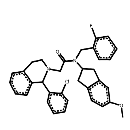 COc1ccc2c(c1)CC(N(Cc1ccccc1F)C(=O)CN1CCc3ccccc3C1c1ccccc1Cl)C2